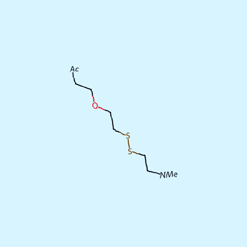 CNCCSSCCOCCC(C)=O